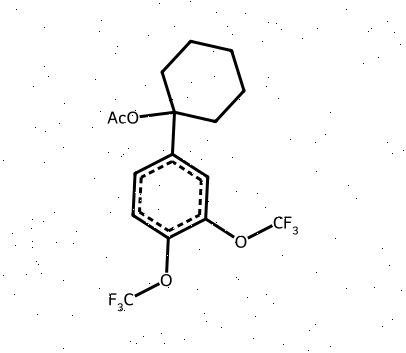 CC(=O)OC1(c2ccc(OC(F)(F)F)c(OC(F)(F)F)c2)CCCCC1